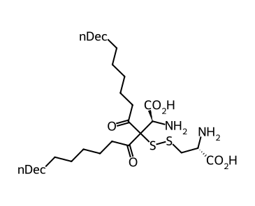 CCCCCCCCCCCCCCCC(=O)C(SSC[C@H](N)C(=O)O)(C(=O)CCCCCCCCCCCCCCC)[C@H](N)C(=O)O